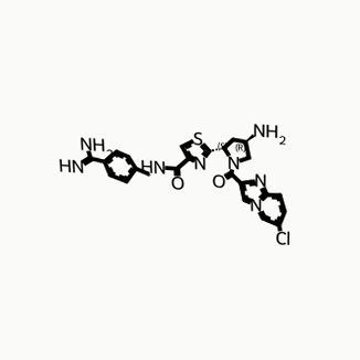 N=C(N)c1ccc(CNC(=O)c2csc([C@@H]3C[C@@H](N)CN3C(=O)c3cn4cc(Cl)ccc4n3)n2)cc1